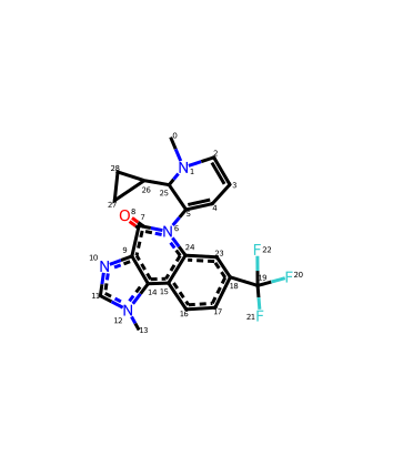 CN1C=CC=C(n2c(=O)c3ncn(C)c3c3ccc(C(F)(F)F)cc32)C1C1CC1